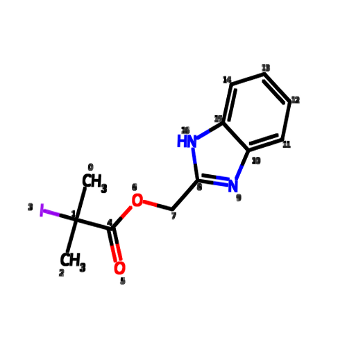 CC(C)(I)C(=O)OCc1nc2ccccc2[nH]1